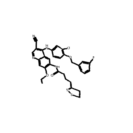 CCOc1cc2ncc(C#N)c(Nc3ccc(OCc4cccc(F)c4)c(Cl)c3)c2cc1NC(=O)CCCC1CCSS1